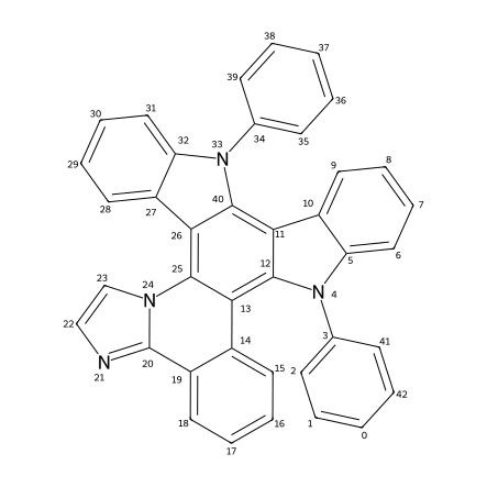 c1ccc(-n2c3ccccc3c3c2c2c4ccccc4c4nccn4c2c2c4ccccc4n(-c4ccccc4)c32)cc1